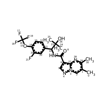 Cc1cn2ncc(C(=O)NC(c3ccc(OC(F)(F)F)c(F)c3)C(C)(C)O)c2nc1C